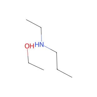 CCCNCC.CCO